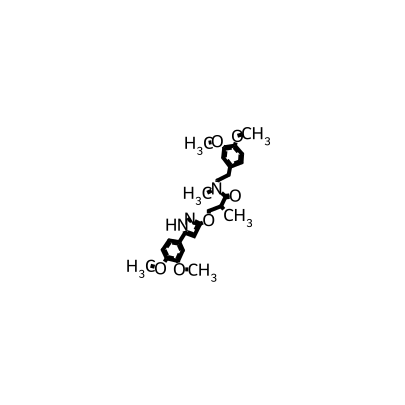 COc1ccc(CCN(C)C(=O)C(C)COc2cc(-c3ccc(OC)c(OC)c3)[nH]n2)cc1OC